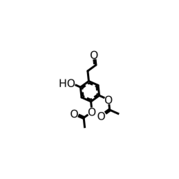 CC(=O)Oc1cc(O)c(CC=O)cc1OC(C)=O